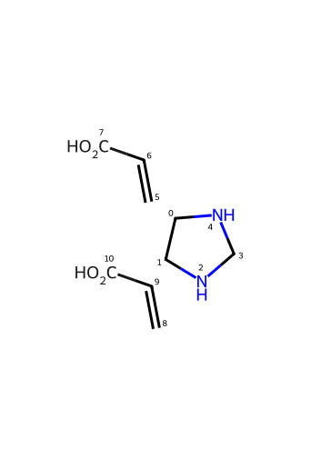 C1CNCN1.C=CC(=O)O.C=CC(=O)O